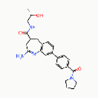 C[C@H](O)CNC(=O)C1CC(N)=Nc2cc(-c3ccc(C(=O)N4CCCC4)cc3)ccc2C1